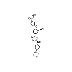 N#Cc1cc(-c2nccc(Nc3ccc(N4CCOCC4)cc3)n2)ccc1O[C@@H]1CCN(C(=O)CO)C1